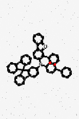 c1ccc(-c2ccc(N(c3ccc4c(c3)C3(c5ccccc5-c5ccccc53)c3ccccc3-4)c3ccc4c(oc5ccccc54)c3-c3ccccc3)cc2)cc1